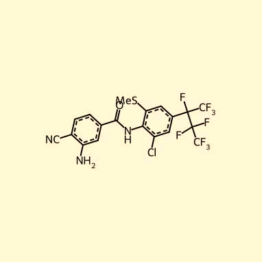 CSc1cc(C(F)(C(F)(F)F)C(F)(F)C(F)(F)F)cc(Cl)c1NC(=O)c1ccc(C#N)c(N)c1